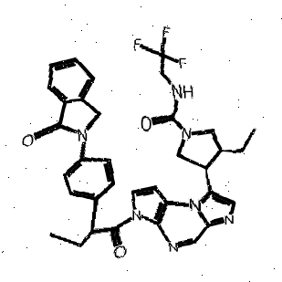 CCC(C(=O)n1ccc2c1ncc1ncc([C@H]3CN(C(=O)NCC(F)(F)F)C[C@H]3CC)n12)c1ccc(N2Cc3ccccc3C2=O)cc1